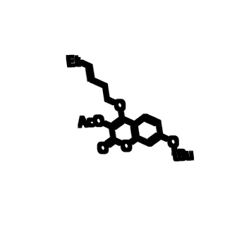 CCC=CCCOc1c(OC(C)=O)c(=O)oc2cc(OC(C)(C)C)ccc12